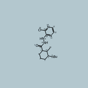 CCCCC1CCCC(C(=O)NNc2nccnc2Cl)C1C